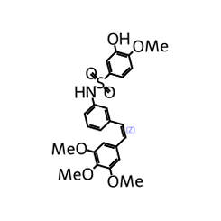 COc1ccc(S(=O)(=O)Nc2cccc(/C=C\c3cc(OC)c(OC)c(OC)c3)c2)cc1O